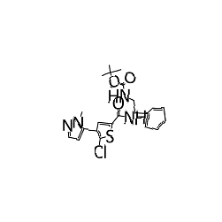 Cn1nccc1-c1cc(C(=O)NC(CNC(=O)OC(C)(C)C)c2ccccc2)sc1Cl